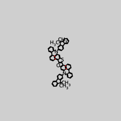 CC1(C)c2ccccc2-c2ccc(N(c3ccc4c(c3)oc3c5ccc(N(c6ccc7c(c6)C(C)(C)c6ccccc6-7)c6ccccc6-c6ccccc6)cc5sc43)c3ccccc3-c3ccccc3)cc21